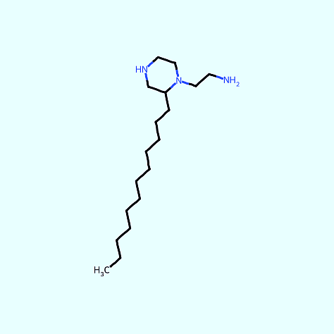 CCCCCCCCCCCCC1CNCCN1CCN